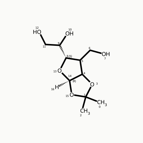 CC1(C)OC2C(CO)[C@@H](C(O)CO)O[C@@H]2O1